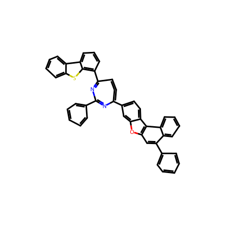 C1=CC(c2cccc3c2sc2ccccc23)=NC(c2ccccc2)=NC=1c1ccc2c(c1)oc1cc(-c3ccccc3)c3ccccc3c12